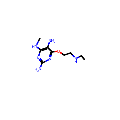 CCNCCOc1nc(N)nc(NC)c1N